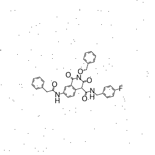 O=C(Cc1ccccc1)Nc1ccc2c(c1)C(=O)N(OCc1ccccc1)C(=O)C2C(=O)NCc1ccc(F)cc1